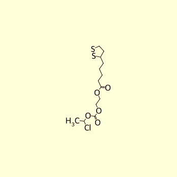 CC(Cl)OC(=O)OCCOC(=O)CCCCC1CCSS1